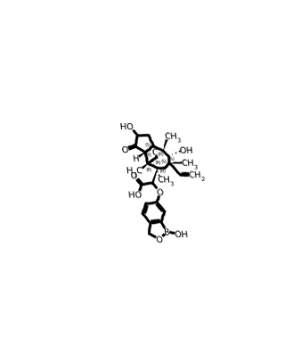 C=C[C@]1(C)C[C@@H](C(Oc2ccc3c(c2)B(O)OC3)C(=O)O)[C@@]2(C)[C@H](C)CC[C@]3(CC(O)C(=O)[C@H]32)[C@@H](C)[C@@H]1O